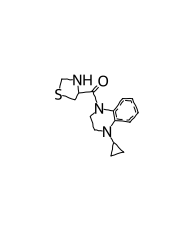 O=C(C1CSCN1)N1CCN(C2CC2)c2ccccc21